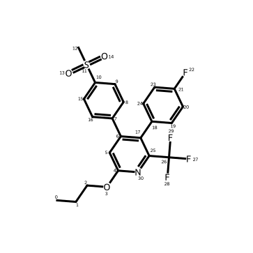 CCCOc1cc(-c2ccc(S(C)(=O)=O)cc2)c(-c2ccc(F)cc2)c(C(F)(F)F)n1